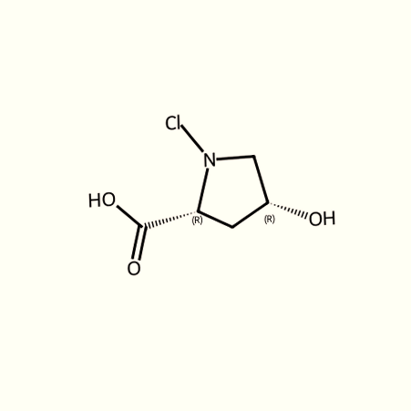 O=C(O)[C@H]1C[C@@H](O)CN1Cl